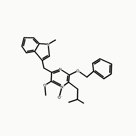 COc1c(Cc2cn(C)c3ccccc23)nc(OCc2ccccc2)c(CC(C)C)[n+]1[O-]